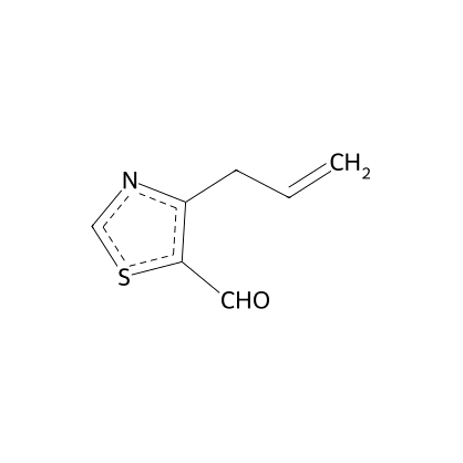 C=CCc1ncsc1C=O